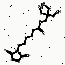 O=C(CCCCCN1C(=O)C=CC1=O)OCC(CO)(CO)CO